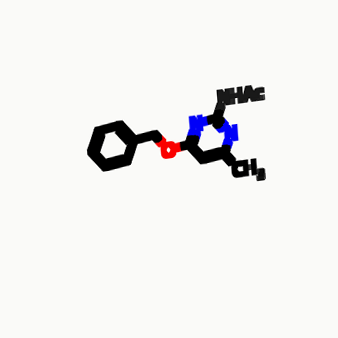 CC(=O)Nc1nc(C)cc(OCc2ccccc2)n1